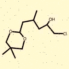 CC(CC(O)CCl)CC1OCC(C)(C)CO1